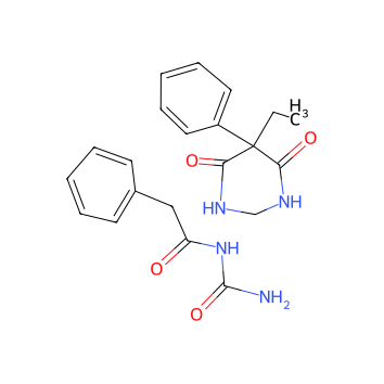 CCC1(c2ccccc2)C(=O)NCNC1=O.NC(=O)NC(=O)Cc1ccccc1